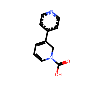 O=C(O)N1C=CC=C(c2ccncc2)C1